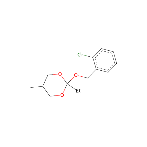 CCC1(OCc2ccccc2Cl)OCC(C)CO1